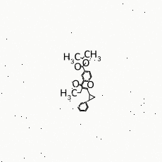 CCc1c(C2CC2c2ccccc2)oc2ccc(C(=O)OC(C)C)cc2c1=O